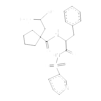 CCCC(CC1(C(=O)NC(Cc2ccccc2)C(=O)NS(=O)(=O)c2cccnc2)CCCC1)C(=O)O